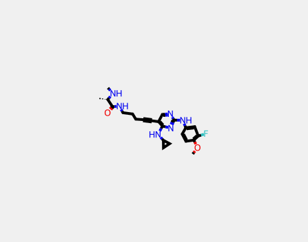 CN[C@@H](C)C(=O)NCCCC#Cc1cnc(Nc2ccc(OC)c(F)c2)nc1NC1CC1